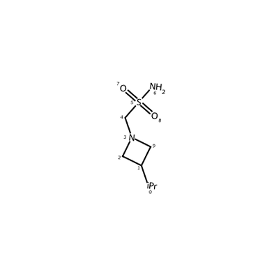 CC(C)C1CN(CS(N)(=O)=O)C1